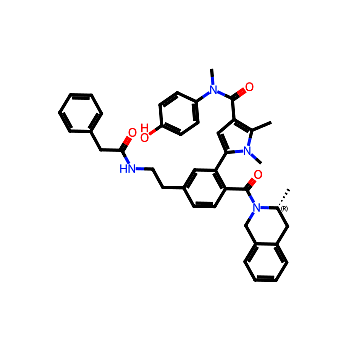 Cc1c(C(=O)N(C)c2ccc(O)cc2)cc(-c2cc(CCNC(=O)Cc3ccccc3)ccc2C(=O)N2Cc3ccccc3C[C@H]2C)n1C